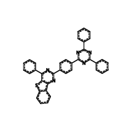 c1ccc(-c2nc(-c3ccccc3)nc(-c3ccc(-c4nc(-c5ccccc5)c5sc6ccccc6c5n4)cc3)n2)cc1